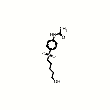 CC(=O)Nc1ccc(S(=O)(=O)CCCCCO)cc1